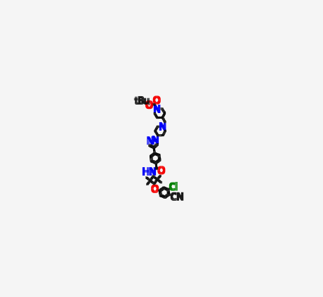 CC(C)(C)OC(=O)N1CCC(CN2CCC(n3cc(-c4ccc(C(=O)NC5C(C)(C)C(Oc6ccc(C#N)c(Cl)c6)C5(C)C)cc4)cn3)CC2)CC1